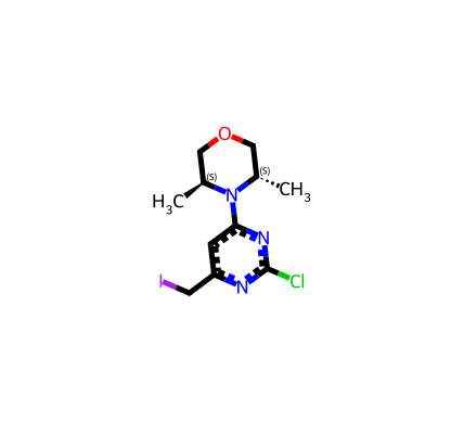 C[C@H]1COC[C@H](C)N1c1cc(CI)nc(Cl)n1